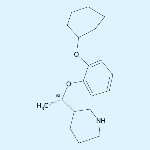 C[C@H](Oc1ccccc1OC1CCCCC1)C1CCCNC1